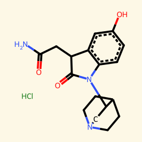 Cl.NC(=O)CC1C(=O)N(C2CN3CCC2CC3)c2ccc(O)cc21